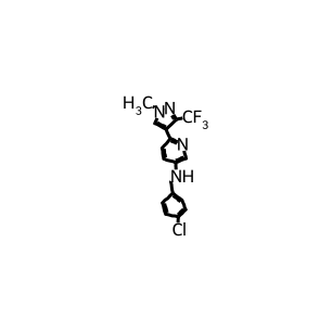 Cn1cc(-c2ccc(NCc3ccc(Cl)cc3)cn2)c(C(F)(F)F)n1